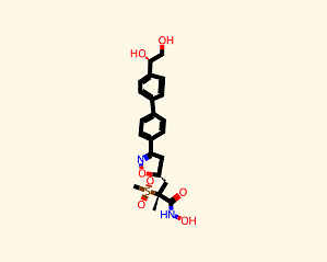 C[C@@](C[C@H]1CC(c2ccc(-c3ccc([C@H](O)CO)cc3)cc2)=NO1)(C(=O)NO)S(C)(=O)=O